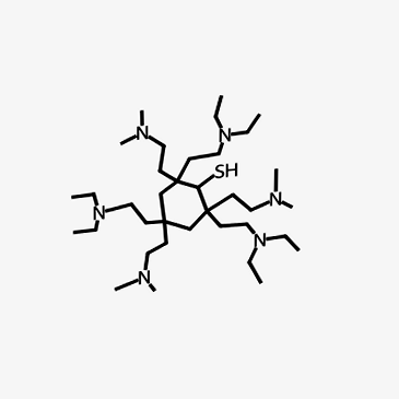 CCN(CC)CCC1(CCN(C)C)CC(CCN(C)C)(CCN(CC)CC)C(S)C(CCN(C)C)(CCN(CC)CC)C1